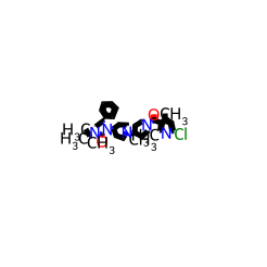 Cc1cc(Cl)nc(C)c1C(=O)N1CCC(C)(N2CCC(N3C(=O)N(C(C)(C)C)C[C@H]3c3ccccc3)CC2)CC1